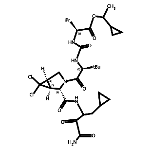 CC(OC(=O)[C@@H](NC(=O)N[C@H](C(=O)N1C[C@H]2[C@@H]([C@H]1C(=O)NC(CC1CC1)C(=O)C(N)=O)C2(Cl)Cl)C(C)(C)C)C(C)C)C1CC1